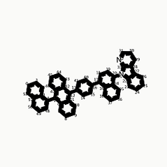 c1ccc2c(-c3c4ccccc4c(-c4ccc(-c5ccc(-n6c7ccccc7c7cccnc76)c6ccccc56)cc4)c4ccccc34)cccc2c1